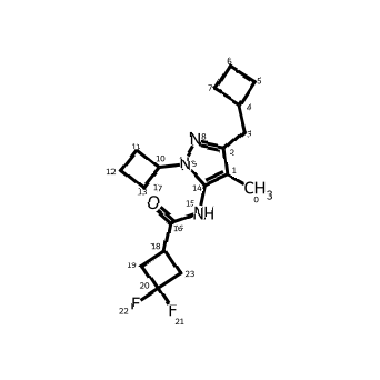 Cc1c(CC2CCC2)nn(C2CCC2)c1NC(=O)C1CC(F)(F)C1